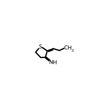 CC/C=C1/SCCC1=N